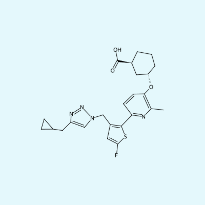 Cc1nc(-c2sc(F)cc2Cn2cc(CC3CC3)nn2)ccc1O[C@H]1CCC[C@H](C(=O)O)C1